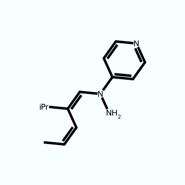 C/C=C\C(=C/N(N)c1ccncc1)C(C)C